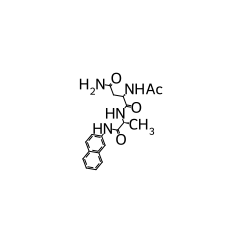 CC(=O)N[C@H](CC(N)=O)C(=O)N[C@@H](C)C(=O)Nc1ccc2ccccc2c1